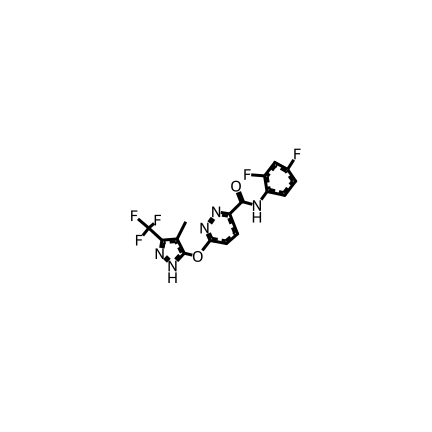 Cc1c(C(F)(F)F)n[nH]c1Oc1ccc(C(=O)Nc2ccc(F)cc2F)nn1